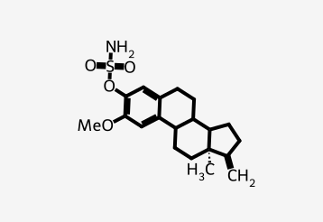 C=C1CCC2C3CCc4cc(OS(N)(=O)=O)c(OC)cc4C3CC[C@]12C